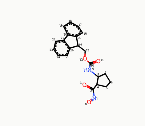 O=NC(=O)C1CCCC1NC(=O)OCC1c2ccccc2-c2ccccc21